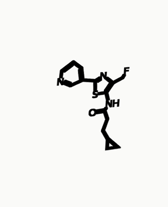 O=C(CCC1CC1)Nc1sc(-c2cccnc2)nc1CF